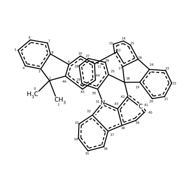 CC1(C)c2ccccc2-c2cc(-c3cccc4c3C3(c5ccccc5-4)c4ccccc4-n4c5ccccc5c5cccc3c54)ccc21